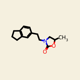 CC1CN(CCc2ccc3c(c2)CCC3)C(=O)O1